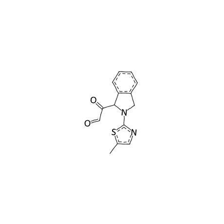 Cc1cnc(N2Cc3ccccc3C2C(=O)C=O)s1